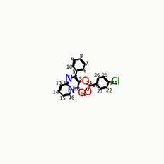 O=C(Oc1c(-c2ccccc2)nc2ccccn2c1=O)c1ccc(Cl)cc1